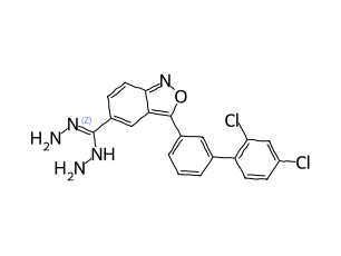 N/N=C(\NN)c1ccc2noc(-c3cccc(-c4ccc(Cl)cc4Cl)c3)c2c1